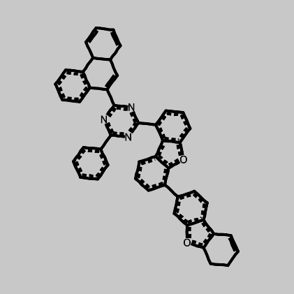 C1=CC2C=C(c3nc(-c4ccccc4)nc(-c4cccc5oc6c(-c7ccc8c9c(oc8c7)CCC=C9)cccc6c45)n3)c3ccccc3C2C=C1